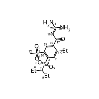 CCc1cc(S(=O)(=O)C(CC)CC)c(S(C)(=O)=O)cc1C(=O)N=C(N)N